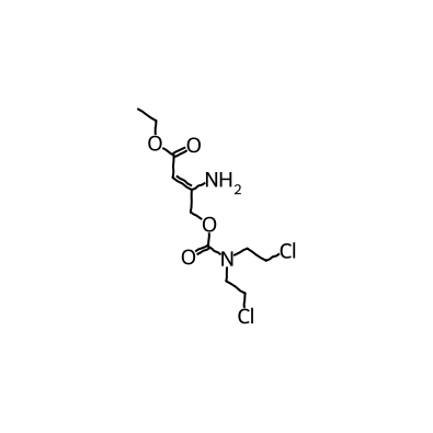 CCOC(=O)C=C(N)COC(=O)N(CCCl)CCCl